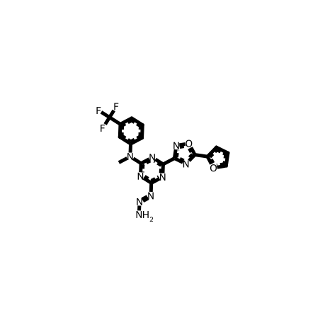 CN(c1cccc(C(F)(F)F)c1)c1nc(N=NN)nc(-c2noc(-c3ccco3)n2)n1